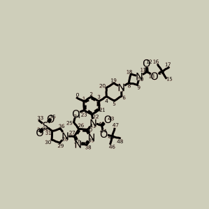 Cc1cc(C2CCN(C3CN(C(=O)OC(C)(C)C)C3)CC2)cc2c1OCc1c(N3CCC(S(C)(=O)=O)C3)ncnc1N2C(=O)OC(C)(C)C